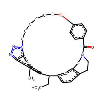 Cc1c2ccc3c1nnn3CCCCCCOc1ccc(cc1)C(=O)N1CCc3ccc(cc3C1)C2CC(=O)O